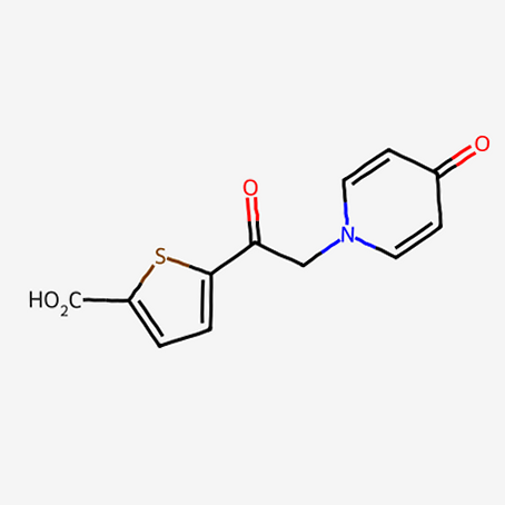 O=C(O)c1ccc(C(=O)Cn2ccc(=O)cc2)s1